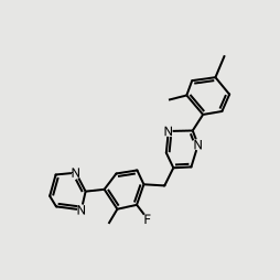 Cc1ccc(-c2ncc(Cc3ccc(-c4ncccn4)c(C)c3F)cn2)c(C)c1